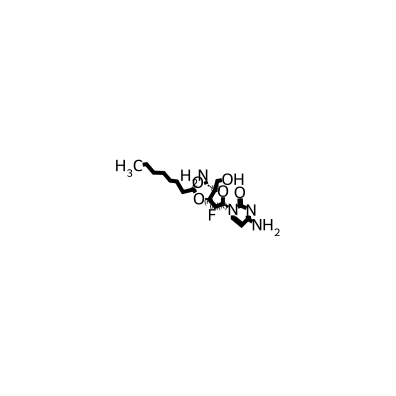 CCCCCCCC(=O)O[C@H]1[C@@H](F)[C@H](n2ccc(N)nc2=O)O[C@]1(CN)CO